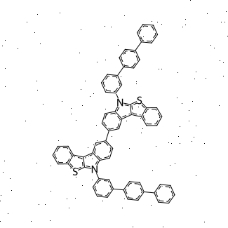 c1ccc(-c2ccc(-c3cccc(-n4c5ccc(-c6ccc7c(c6)c6c8ccccc8sc6n7-c6cccc(-c7ccc(-c8ccccc8)cc7)c6)cc5c5c6ccccc6sc54)c3)cc2)cc1